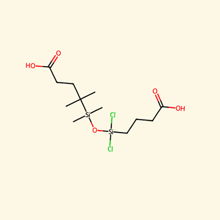 CC(C)(CCC(=O)O)[Si](C)(C)O[Si](Cl)(Cl)CCCC(=O)O